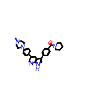 CN1CCN(c2ccc(-c3cnc4[nH]cc(-c5ccc(C(=O)N6CCCCC6)cc5)c4c3)cc2)CC1